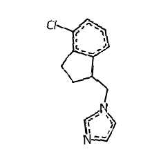 Clc1cccc2c1CCC2Cn1ccnc1